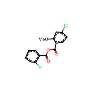 COc1cc(Cl)ccc1C(=O)OC(=O)c1ccccc1F